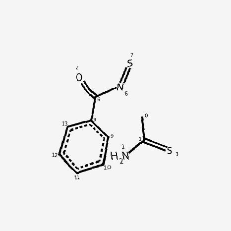 CC(N)=S.O=C(N=S)c1ccccc1